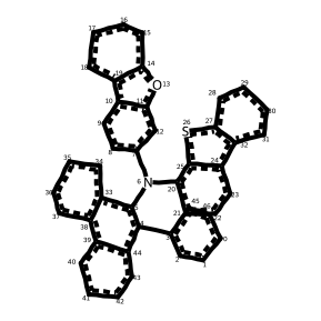 c1ccc(-c2c(N(c3ccc4c(c3)oc3ccccc34)c3cccc4c3sc3ccccc34)c3ccccc3c3ccccc23)cc1